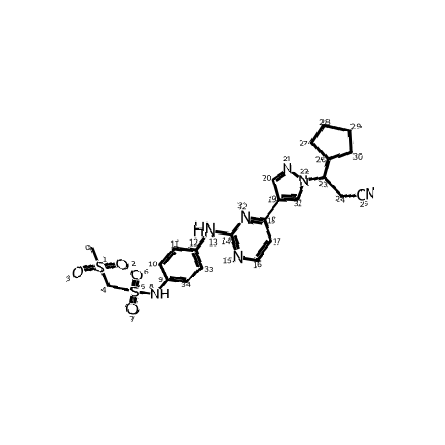 CS(=O)(=O)CS(=O)(=O)Nc1ccc(Nc2nccc(-c3cnn(C(CC#N)C4CCCC4)c3)n2)cc1